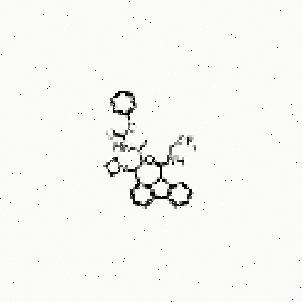 CC(CC(c1cccc2c1C(C(=O)NCC(F)(F)F)c1ccccc1-2)N1CCC1)NC(=O)Oc1ccccc1